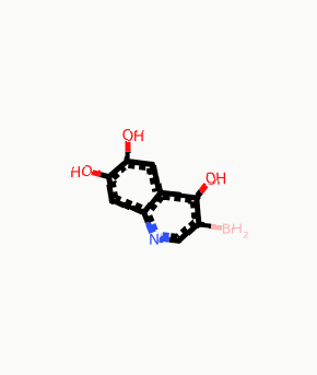 Bc1cnc2cc(O)c(O)cc2c1O